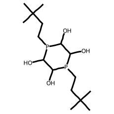 CC(C)(C)CCP1C(O)C(O)P(CCC(C)(C)C)C(O)C1O